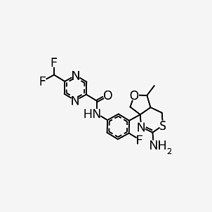 CC1OCC2(c3cc(NC(=O)c4cnc(C(F)F)cn4)ccc3F)N=C(N)SCC12